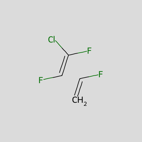 C=CF.FC=C(F)Cl